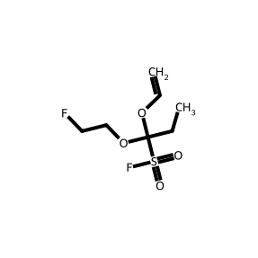 C=COC(CC)(OCCF)S(=O)(=O)F